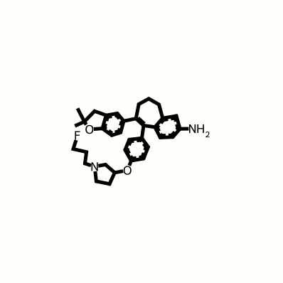 CC1(C)Cc2cc(C3=C(c4ccc(OC5CCN(CCCF)C5)cc4)c4ccc(N)cc4CCC3)ccc2O1